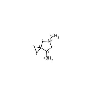 BC1CN(C)CC12CC2